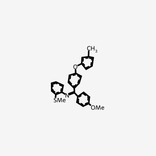 COc1ccc(C(=Nc2ccccc2SC)c2ccc(Oc3cccc(C)c3)cc2)cc1